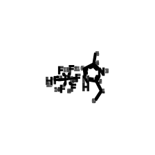 CCc1nc(C)c[nH]1.F[P-](F)(F)(F)(F)F.[H+]